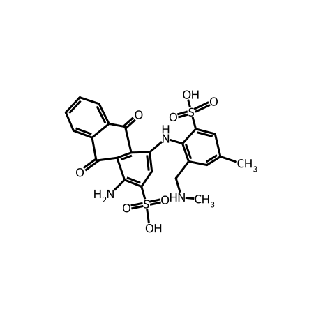 CNCc1cc(C)cc(S(=O)(=O)O)c1Nc1cc(S(=O)(=O)O)c(N)c2c1C(=O)c1ccccc1C2=O